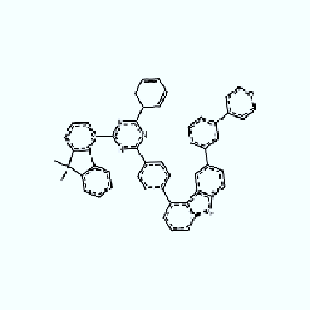 CC1(C)c2ccccc2-c2c(-c3nc(-c4ccc(-c5cccc6sc7ccc(-c8cccc(-c9ccccc9)c8)cc7c56)cc4)nc(C4C=CC=CC4)n3)cccc21